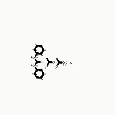 CC(=O)[O-].CC(=O)[O-].S=C(Nc1ccccc1)Nc1ccccc1.[Cu+2]